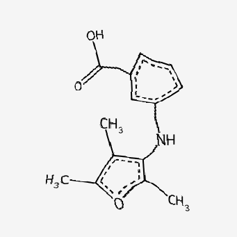 Cc1oc(C)c(Nc2cccc(C(=O)O)c2)c1C